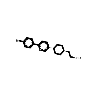 O=CCC[C@H]1CC[C@H](c2ccc(-c3ccc(Br)cc3)nc2)CC1